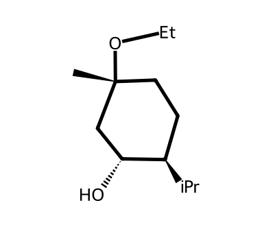 CCO[C@]1(C)CC[C@@H](C(C)C)[C@H](O)C1